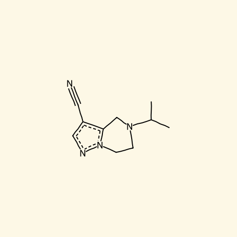 CC(C)N1CCn2ncc(C#N)c2C1